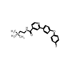 C[N+](C)(C)CCNC(=O)c1ccnc(-c2ccc(Oc3ccc(F)cc3)cc2)c1